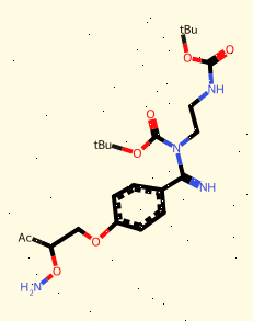 CC(=O)C(COc1ccc(C(=N)N(CCNC(=O)OC(C)(C)C)C(=O)OC(C)(C)C)cc1)ON